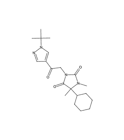 CN1C(=O)N(CC(=O)c2cnn(C(C)(C)C)c2)C(=O)C1(C)C1CCCCC1